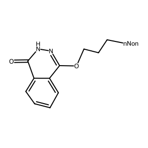 CCCCCCCCCCCCOc1n[nH]c(=O)c2ccccc12